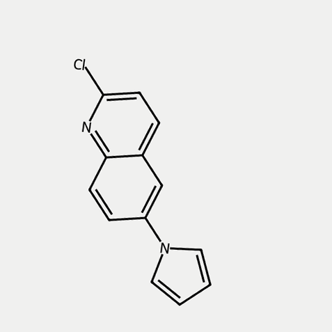 Clc1ccc2cc(-n3cccc3)ccc2n1